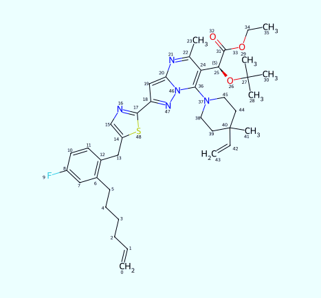 C=CCCCCc1cc(F)ccc1Cc1cnc(-c2cc3nc(C)c([C@H](OC(C)(C)C)C(=O)OCC)c(N4CCC(C)(C=C)CC4)n3n2)s1